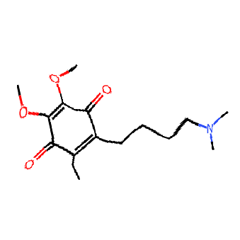 COC1=C(OC)C(=O)C(CCCCN(C)C)=C(C)C1=O